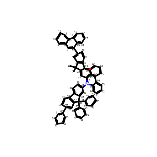 CC1(C)c2cc(-c3cc4ccccc4c4ccccc34)ccc2-c2ccc(N(c3ccc4c(c3)C(c3ccccc3)(c3ccccc3)c3cc(-c5ccccc5)ccc3-4)c3ccccc3-c3ccccc3)cc21